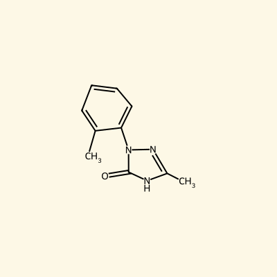 Cc1nn(-c2ccccc2C)c(=O)[nH]1